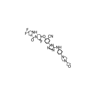 N#Cc1cc(-c2ncnc(Nc3ccc(N4CCN(C5COC5)CC4)cc3)n2)ccc1O[C@H]1CCN(C(=O)[C@@H]2CC(F)(F)CN2)C[C@H]1F